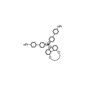 CCCc1ccc(-c2ccc(C(=O)Oc3cccc4c3-c3c(cccc3OC(=O)c3ccc(-c5ccc(CCC)cc5)cc3)OCCCCCO4)cc2)cc1